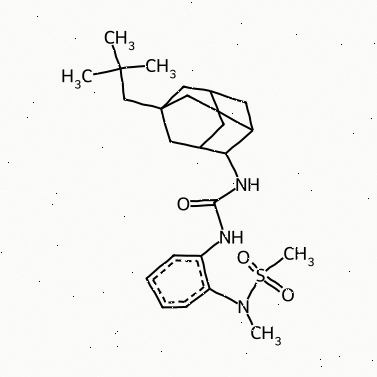 CN(c1ccccc1NC(=O)NC1C2CC3CC1CC(CC(C)(C)C)(C3)C2)S(C)(=O)=O